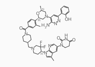 Cc1cc(C(=O)N2CCC(CN3CC[C@H](n4cc(C)c5cc(N6CCC(=O)NC6=O)cnc54)C(F)(F)C3)CC2)ccc1[C@@H]1CN(c2cc(-c3ccccc3O)nnc2N)C[C@H](C)O1